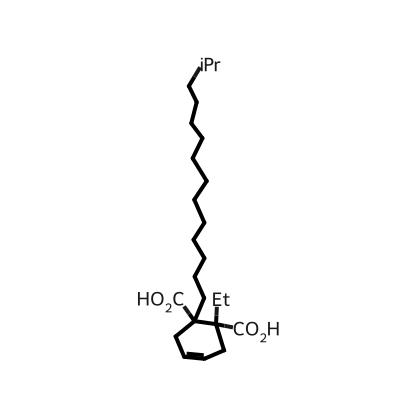 CCC1(C(=O)O)CC=CCC1(CCCCCCCCCCCCC(C)C)C(=O)O